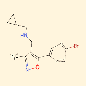 Cc1noc(-c2ccc(Br)cc2)c1CNCC1CC1